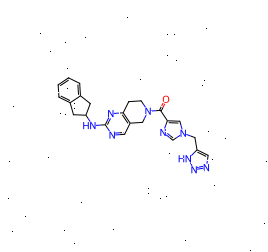 O=C(c1cn(Cc2cnn[nH]2)cn1)N1CCc2nc(NC3Cc4ccccc4C3)ncc2C1